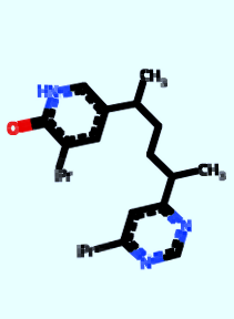 CC(C)c1cc(C(C)CCC(C)c2c[nH]c(=O)c(C(C)C)c2)ncn1